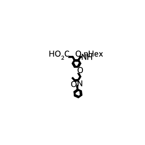 CCCCCCNC(=O)c1cc(OCCc2nc(-c3ccccc3)oc2C)ccc1CCC(=O)O